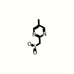 Cc1cnc(C[SH](=O)=O)nc1